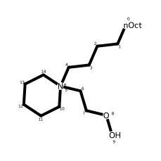 CCCCCCCCCCCC[N+]1(CCOO)CCCCC1